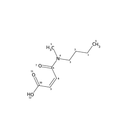 CCCCN(C)C(=O)/C=C\C(=O)O